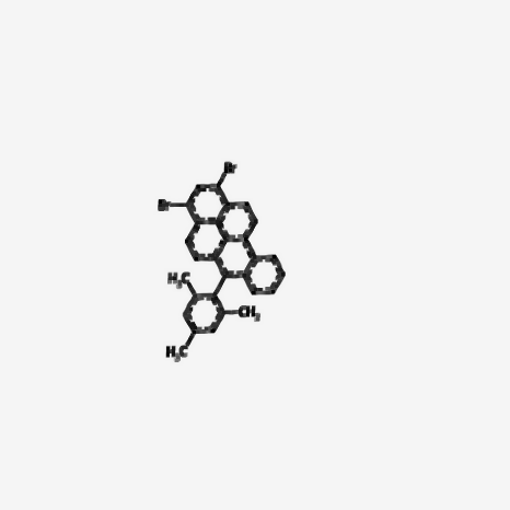 Cc1cc(C)c(-c2c3ccccc3c3ccc4c(Br)cc(Br)c5ccc2c3c54)c(C)c1